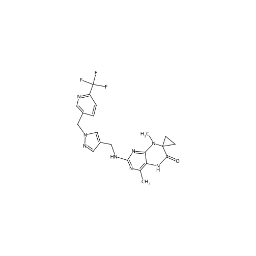 Cc1nc(NCc2cnn(Cc3ccc(C(F)(F)F)nc3)c2)nc2c1NC(=O)C1(CC1)N2C